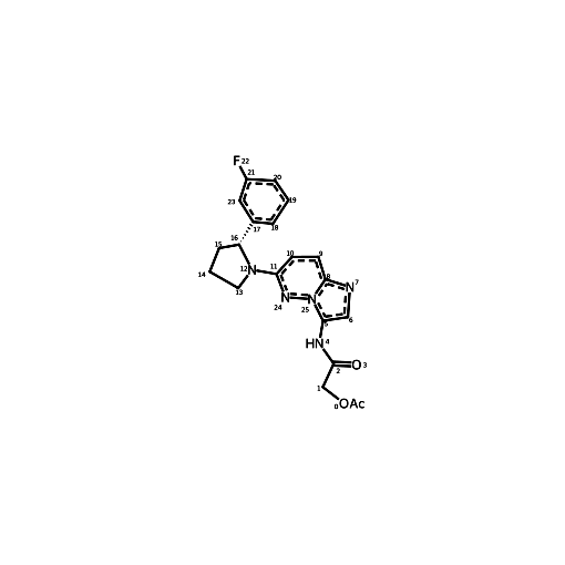 CC(=O)OCC(=O)Nc1cnc2ccc(N3CCC[C@@H]3c3cccc(F)c3)nn12